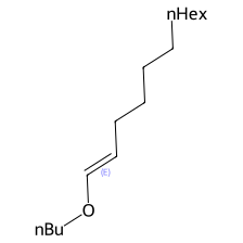 CCCCCCCCCC/C=C/OCCCC